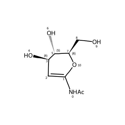 CC(=O)NC1=C[C@@H](O)[C@H](O)[C@@H](CO)O1